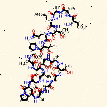 CSCC[C@H](NC(=O)[C@@H](NC(=O)[C@@H](NC(=O)[C@@H](N)CC(=O)O)C(C)C)C(C)C)C(=O)N[C@H](C(=O)N[C@@H](CCC(N)=O)C(=O)N[C@H](C(=O)N1CCC[C@H]1C(=O)N[C@@H](C)C(=O)N[C@@H](CO)C(=O)N[C@H](C(=O)N[C@@H](CO)C(=O)N[C@@H](CCC(=O)O)C(=O)N1CCC[C@H]1C(=O)N[C@H](C(=O)NCC(=O)NCC(=O)N[C@H](C(=O)N[C@H](C(=O)N[C@H](C(=O)O)[C@@H](C)O)C(C)C)[C@@H](C)O)C(C)C)C(C)C)[C@@H](C)O)[C@@H](C)O